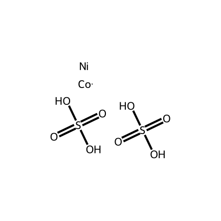 O=S(=O)(O)O.O=S(=O)(O)O.[Co].[Ni]